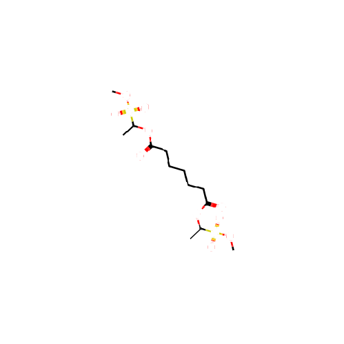 COS(=O)(=O)C(C)OC(=O)CCCCCC(=O)OC(C)S(=O)(=O)OC